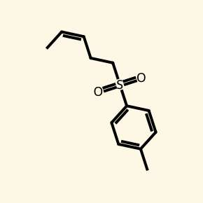 C/C=C\CCS(=O)(=O)c1ccc(C)cc1